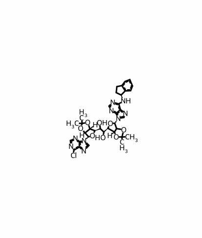 CC1(C)O[C@@H]2[C@H](O1)[C@@H](C(O)C(O)[C@H]1O[C@@H](n3cnc4c(N[C@H]5CCc6ccccc65)ncnc43)C3OC(C)(C)O[C@@H]31)O[C@H]2n1cnc2c(Cl)ncnc21